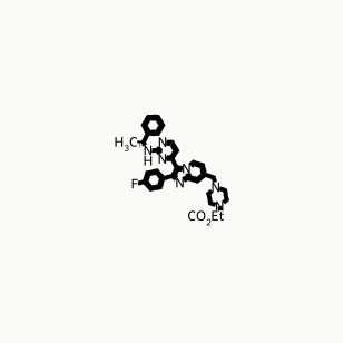 CCOC(=O)N1CCN(Cc2ccn3c(-c4ccnc(N[C@@H](C)c5ccccc5)n4)c(-c4ccc(F)cc4)nc3c2)CC1